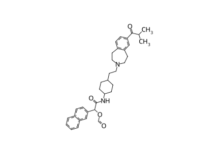 CC(C)C(=O)c1ccc2c(c1)CCN(CCC1CCC(NC(=O)C(OC=O)c3ccc4ccccc4c3)CC1)CC2